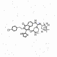 C[C@@H]1C(/N=C(/Nc2ccc3c(=O)n(CCc4ccc(Cl)cc4)c(-c4ncc[nH]4)nc3c2)N2CC(=O)N[C@@H](C)C2)C[C@H]2C[C@@H]1C2(C)C